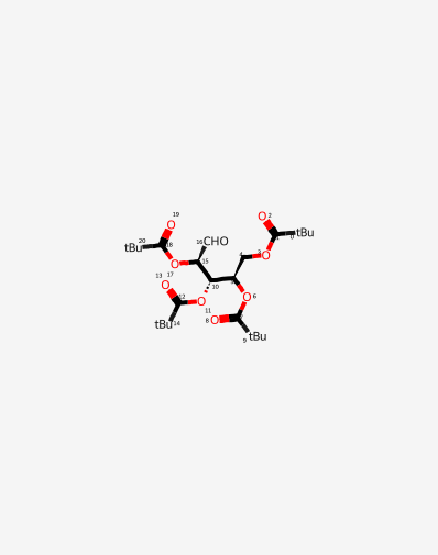 CC(C)(C)C(=O)OC[C@@H](OC(=O)C(C)(C)C)[C@H](OC(=O)C(C)(C)C)[C@H](C=O)OC(=O)C(C)(C)C